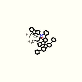 CC/C=C\C=C(/C)N(c1ccc2c(c1)C(C)(C)c1ccccc1-2)c1ccccc1-c1ccc2c(c1)-c1ccccc1C21c2cc(-c3ccccc3)ccc2-c2ccc(-c3ccccc3)cc21